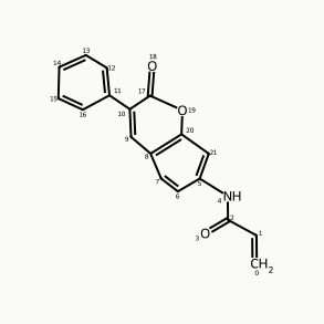 C=CC(=O)Nc1ccc2cc(-c3ccccc3)c(=O)oc2c1